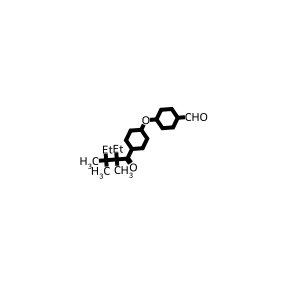 CCC(C)(C)C(C)(CC)C(=O)C1CCC(OC2CCC(C=O)CC2)CC1